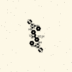 O=[SH](=O)c1cc(Nc2nc(Nc3ccccc3)nc(N3CCOCC3)n2)ccc1/C=C/c1ccc(Nc2nc(Nc3ccccc3)nc(N3CCOCC3)n2)cc1S(=O)(=O)O